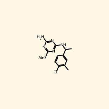 CSc1nc(N)nc(NC(C)c2ccc(Cl)c(C)c2)n1